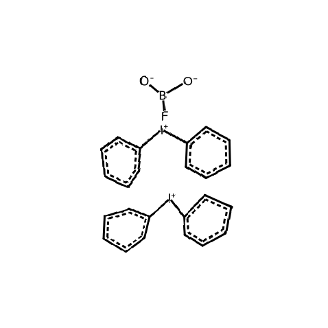 [O-]B([O-])F.c1ccc([I+]c2ccccc2)cc1.c1ccc([I+]c2ccccc2)cc1